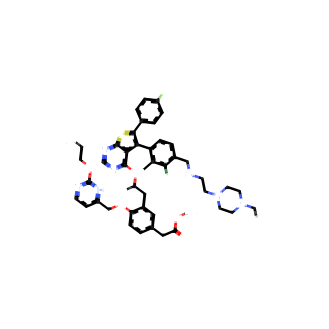 Cc1c(-c2c(-c3ccc(F)cc3)sc3ncnc(OC(Cc4cc(CC(=O)OC(C)(C)C)ccc4OCc4ccnc(OCCC(F)(F)F)n4)C(=O)O)c23)ccc(CNCCN2CCN(CC(F)(F)F)CC2)c1Cl